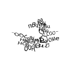 CCCC[N+](CCCC)(CCCC)CCCC.CCCC[N+](CCCC)(CCCC)CCCC.COc1c(Cl)ccc(Cl)c1C(=O)[O-].O=C([O-])CNCP(=O)(O)O